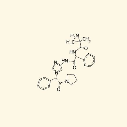 CC(C)(N)C(=O)NC(C(=O)Nc1cn(C(C(=O)N2CCCC2)c2ccccc2)cn1)c1ccccc1